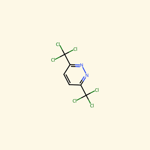 ClC(Cl)(Cl)c1ccc(C(Cl)(Cl)Cl)nn1